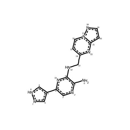 Nc1ncc(-c2cn[nH]c2)nc1NCc1ccn2nccc2n1